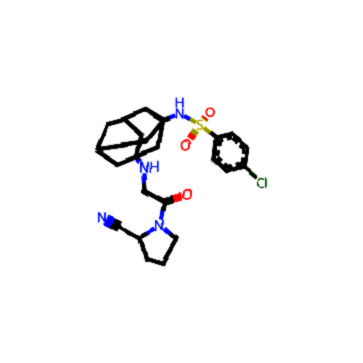 N#CC1CCCN1C(=O)CNC12CC3CC(C1)CC(NS(=O)(=O)c1ccc(Cl)cc1)(C3)C2